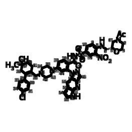 CC(=O)N1CCO[C@H](CNc2ccc(S(=O)(=O)NC(=O)c3ccc(N4CCN(CC5=C(c6ccc(Cl)cc6)CC(C)(C)CC5)CC4)cc3-n3ncc4nc5[nH]ccc5cc43)cc2[N+](=O)[O-])C1